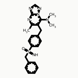 Cc1nc2ncnn2c(N(C)C)c1Cc1ccc(S(=N)(=O)Cc2ccccc2)cc1